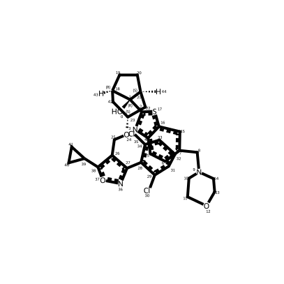 O[C@@]1(c2nc3ccc(CN4CCOCC4)cc3s2)[C@@H]2CC[C@H]1C[C@H](OCc1c(-c3c(Cl)cccc3Cl)noc1C1CC1)C2